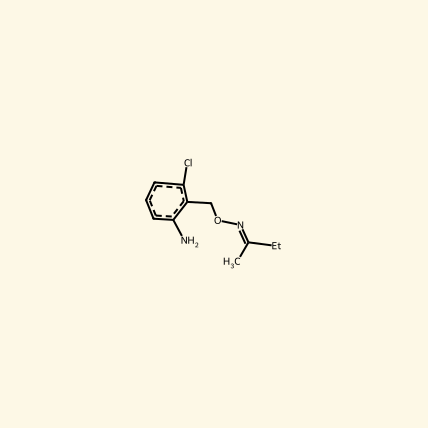 CCC(C)=NOCc1c(N)cccc1Cl